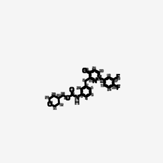 O=C(Nc1cccc(Cc2nn(-c3ccc(F)c(F)c3)ccc2=O)c1)OCC1CCOCC1